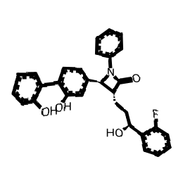 O=C1[C@H](CC[C@H](O)c2ccccc2F)[C@@H](c2ccc(-c3ccccc3O)c(O)c2)N1c1ccccc1